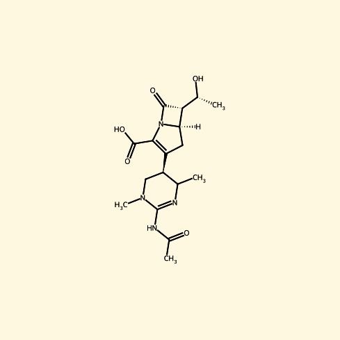 CC(=O)NC1=NC(C)[C@H](C2=C(C(=O)O)N3C(=O)[C@H]([C@@H](C)O)[C@H]3C2)CN1C